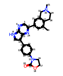 Cc1cc(-c2cnc3[nH]cc(-c4ccc(N5CCOC5=O)cc4)c3n2)cc2c1CCN(C)C2